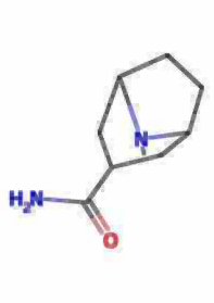 CN1C2CCC1CC(C(N)=O)C2